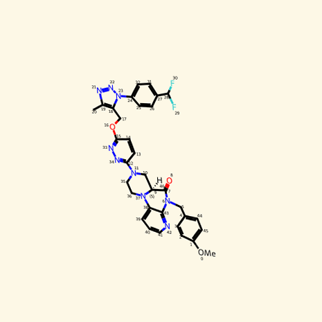 COc1ccc(CN2C(=O)[C@@H]3CN(c4ccc(OCc5c(C)nnn5-c5ccc(C(F)F)cc5)nn4)CCN3c3cccnc32)cc1